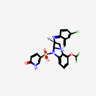 O=c1ccc(S(=O)(=O)N2c3cccc(OC(F)F)c3[N@+]34C=c5cc(Cl)ccc5=N[C@H](C3)C24)c[nH]1